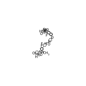 Cn1c(=O)n(C2CCC(=O)NC2=O)c2ccc(C3CCN(CC(=O)N4CCC(Oc5ccc6cc(O)c(N7CC(=O)NS7(=O)=O)c(F)c6c5)CC4)CC3(F)F)cc21